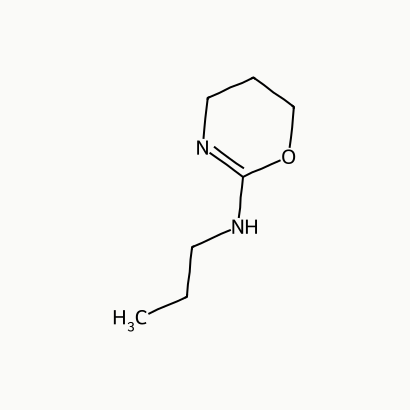 CCCNC1=NCCCO1